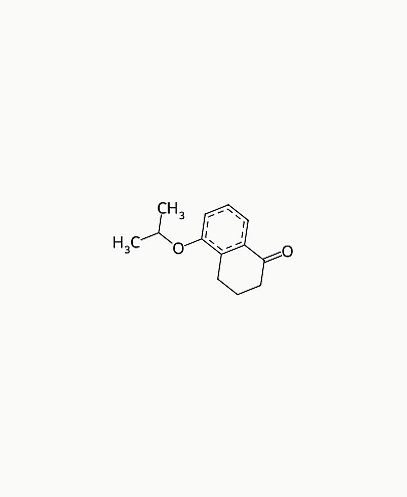 CC(C)Oc1cccc2c1CCCC2=O